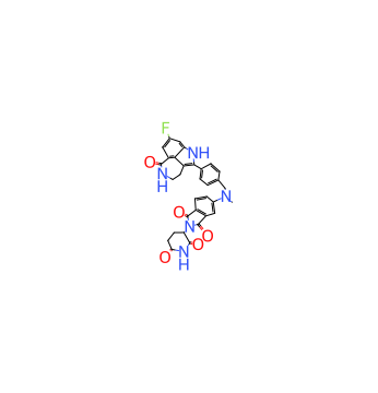 CN(Cc1ccc(-c2[nH]c3cc(F)cc4c3c2CCNC4=O)cc1)c1ccc2c(c1)C(=O)N(C1CCC(=O)NC1=O)C2=O